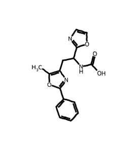 Cc1oc(-c2ccccc2)nc1CC(NC(=O)O)c1ncco1